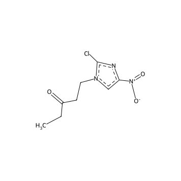 CCC(=O)CCn1cc([N+](=O)[O-])nc1Cl